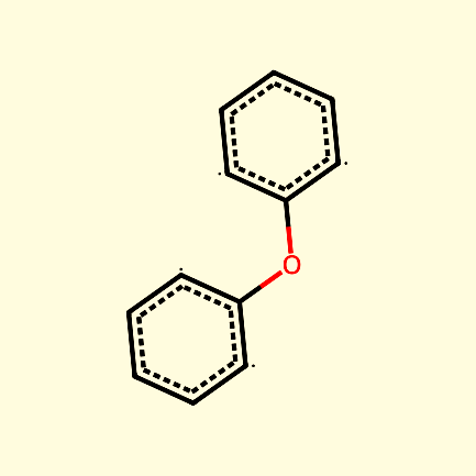 [c]1ccc[c]c1Oc1[c]ccc[c]1